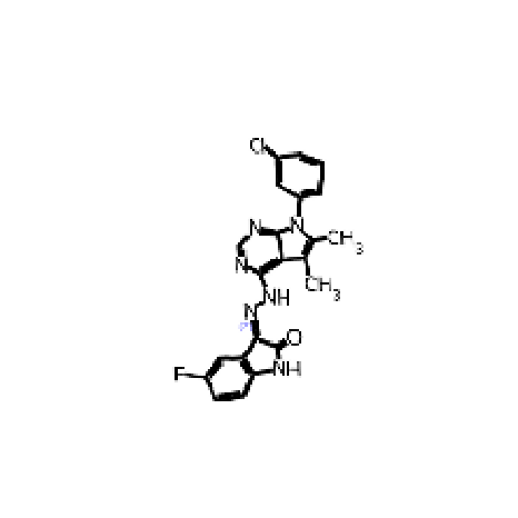 Cc1c(C)n(-c2cccc(Cl)c2)c2ncnc(N/N=C3\C(=O)Nc4ccc(F)cc43)c12